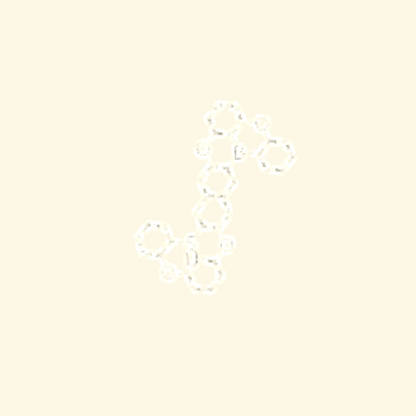 c1ccc2c(c1)Oc1cccc3c1B2c1cc2cc4c(cc2cc1O3)[SH]1c2ccccc2Oc2cccc(c21)O4